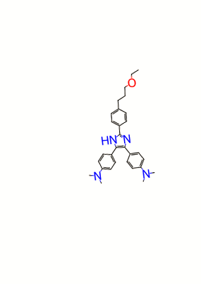 CCOCCCc1ccc(-c2nc(-c3ccc(N(C)C)cc3)c(-c3ccc(N(C)C)cc3)[nH]2)cc1